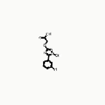 O=C(O)COc1nc(-c2cccc(Cl)c2)n(O)n1